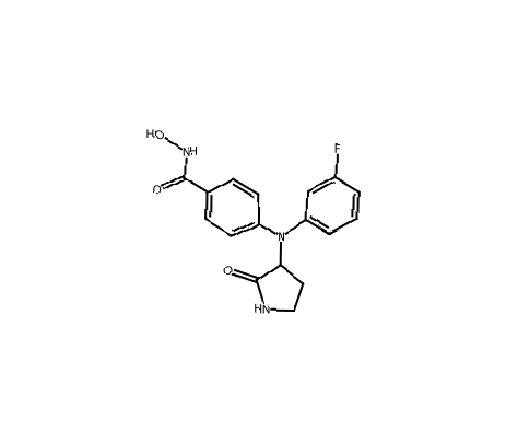 O=C(NO)c1ccc(N(c2cccc(F)c2)C2CCNC2=O)cc1